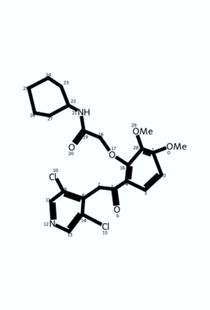 COc1ccc(C(=O)Cc2c(Cl)cncc2Cl)c(OCC(=O)NC2CCCCC2)c1OC